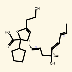 C/C=C/C=C/[C@](C)(O)C/C=C/[C@H]1C=C(CCO)OC1(C(=O)O)C1CCCC1